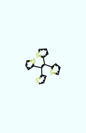 c1csc(C(=C(c2cccs2)c2cccs2)c2cccs2)c1